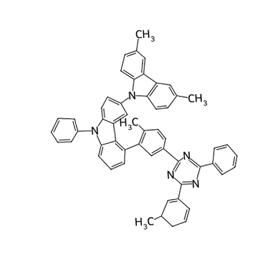 Cc1ccc2c(c1)c1cc(C)ccc1n2-c1ccc2c(c1)c1c(-c3cc(-c4nc(C5=CC(C)CC=C5)nc(-c5ccccc5)n4)ccc3C)cccc1n2-c1ccccc1